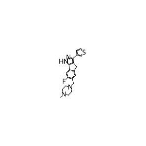 CN1CCN(Cc2cc3c(cc2F)-c2[nH]nc(-c4ccsc4)c2C3)CC1